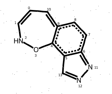 C1=CNOc2c3c(ccc2=C1)=NN=C3